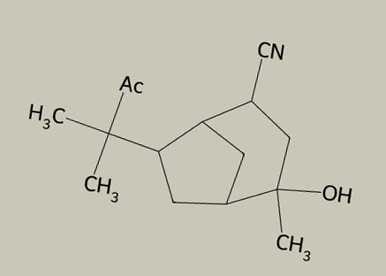 CC(=O)C(C)(C)C1CC2CC1C(C#N)CC2(C)O